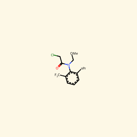 CCCc1cccc(C(F)(F)F)c1N(COC)C(=O)CCl